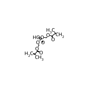 C=C(C)C(=O)OCOP(=O)(O)OCOC(=O)C(=C)C